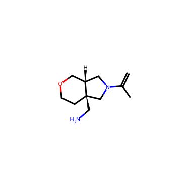 C=C(C)N1C[C@H]2COCC[C@@]2(CN)C1